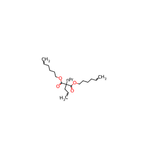 C=CCCCCOC(=O)C(CC=C)(CCC)C(=O)OCCCCC=C